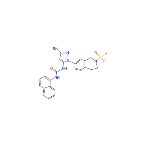 CC(C)(C)c1cc(NC(=O)Nc2cccc3ccccc23)n(-c2ccc3c(c2)CN(S(C)(=O)=O)CC3)n1